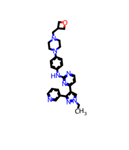 CCn1cc(-c2ccnc(Nc3ccc(N4CCN(CC5COC5)CC4)cc3)n2)c(-c2cccnc2)n1